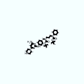 CC(C)(C)OC(=O)N(CCCN(C(=O)OC(C)(C)C)C1CCCCC1)C[C@H]1CC[C@@H](Nc2nc(N)cc(N3CCNCC3)n2)CC1